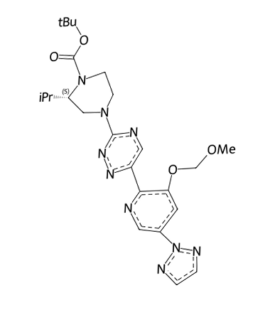 COCOc1cc(-n2nccn2)cnc1-c1cnc(N2CCN(C(=O)OC(C)(C)C)[C@@H](C(C)C)C2)nn1